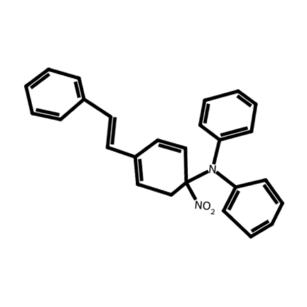 O=[N+]([O-])C1(N(c2ccccc2)c2ccccc2)C=CC(C=Cc2ccccc2)=CC1